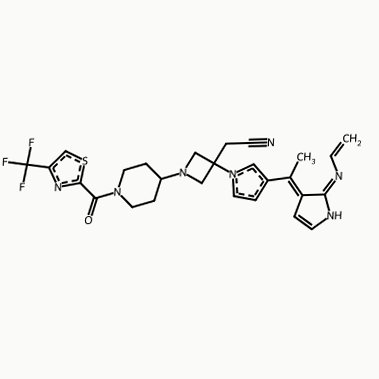 C=C/N=C1/NC=C/C1=C(/C)c1ccn(C2(CC#N)CN(C3CCN(C(=O)c4nc(C(F)(F)F)cs4)CC3)C2)c1